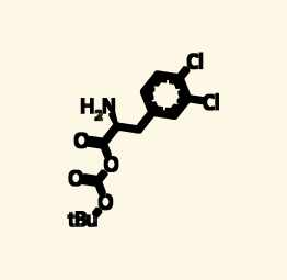 CC(C)(C)OC(=O)OC(=O)[C@@H](N)Cc1ccc(Cl)c(Cl)c1